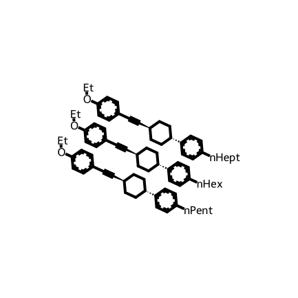 CCCCCCCc1ccc([C@H]2CC[C@H](C#Cc3ccc(OCC)cc3)CC2)cc1.CCCCCCc1ccc([C@H]2CC[C@H](C#Cc3ccc(OCC)cc3)CC2)cc1.CCCCCc1ccc([C@H]2CC[C@H](C#Cc3ccc(OCC)cc3)CC2)cc1